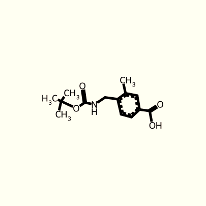 Cc1cc(C(=O)O)ccc1CNC(=O)OC(C)(C)C